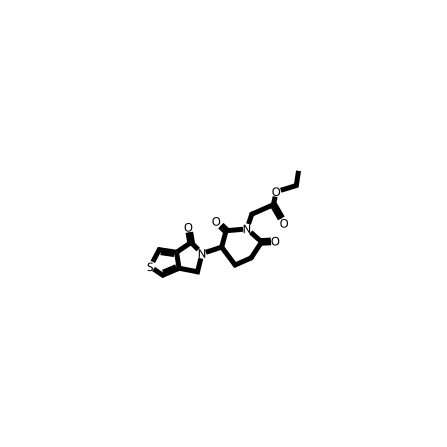 CCOC(=O)CN1C(=O)CCC(N2Cc3cscc3C2=O)C1=O